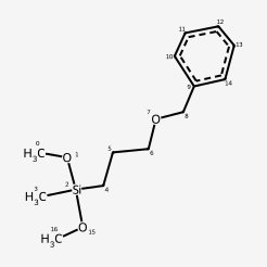 CO[Si](C)(CCCOCc1ccccc1)OC